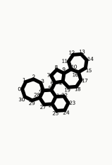 C1CCCC2[C](C3CCC4C5CCCCCC5CCCC34)C3CCCCC3CC2CC1